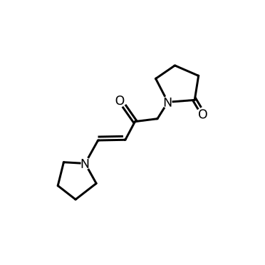 O=C(C=CN1CCCC1)CN1CCCC1=O